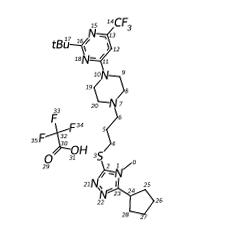 Cn1c(SCCCN2CCN(c3cc(C(F)(F)F)nc(C(C)(C)C)n3)CC2)nnc1C1CCCC1.O=C(O)C(F)(F)F